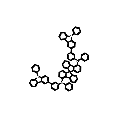 c1ccc(N(c2cccc(-c3ccc4c(c3)c3ccccc3n4-c3ccccc3)c2)c2cccc3c2-c2ccccc2C32c3ccccc3-c3c(N(c4ccccc4)c4cccc(-c5ccc6c(c5)c5ccccc5n6-c5ccccc5)c4)cccc32)cc1